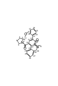 COC[C@H]1CCCN1C(=O)c1cc(-c2ccccc2)c(=O)n2c1-c1ccccc1CN2C